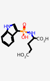 O=C(O)CCC(NP(=O)(O)c1c[nH]c2ccccc12)C(=O)O